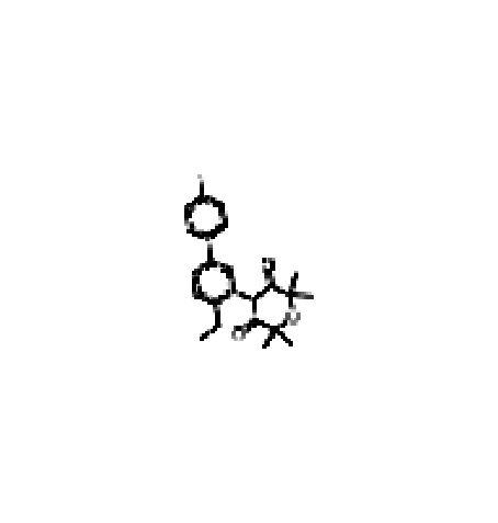 CCc1ccc(-c2ccc(C)cc2)cc1C1C(=O)C(C)(C)OC(C)(C)C1=O